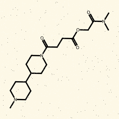 CN1CCC(C2CCN(C(=O)CCC(=O)OCC(=O)N(C)C)CC2)CC1